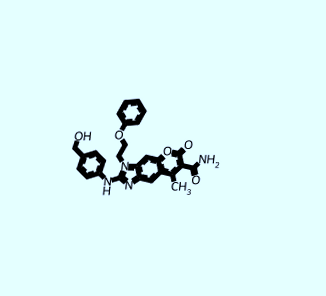 Cc1c(C(N)=O)c(=O)oc2cc3c(cc12)nc(Nc1ccc(CO)cc1)n3CCOc1ccccc1